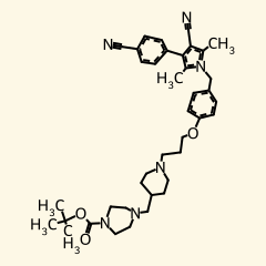 Cc1c(C#N)c(-c2ccc(C#N)cc2)c(C)n1Cc1ccc(OCCCN2CCC(CN3CCN(C(=O)OC(C)(C)C)CC3)CC2)cc1